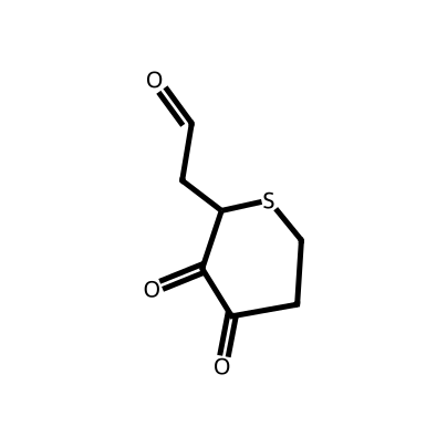 O=CCC1SCCC(=O)C1=O